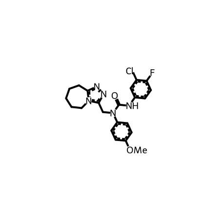 COc1ccc(N(Cc2nnc3n2CCCCC3)C(=O)Nc2ccc(F)c(Cl)c2)cc1